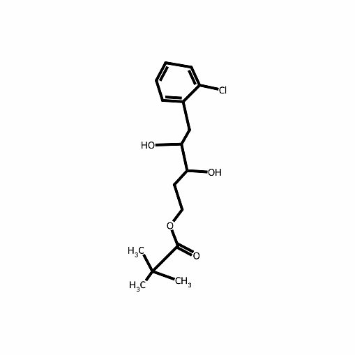 CC(C)(C)C(=O)OCCC(O)C(O)Cc1ccccc1Cl